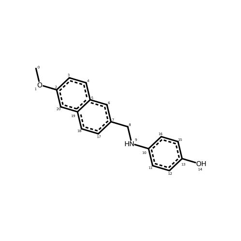 COc1ccc2cc(CNc3ccc(O)cc3)ccc2c1